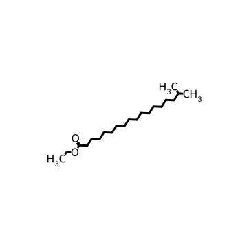 CCOC(=O)CCCCCCCCCCCCCCCC(C)C